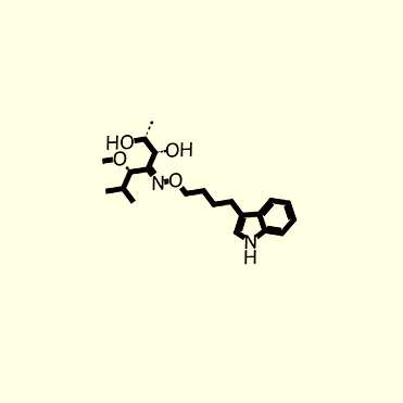 CO[C@H](/C(=N/OCCCCc1c[nH]c2ccccc12)[C@@H](O)[C@@H](C)O)C(C)C